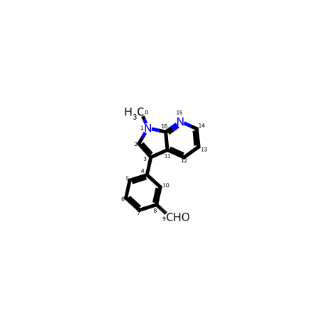 Cn1cc(-c2cccc(C=O)c2)c2cccnc21